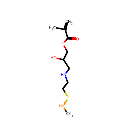 C=C(C)C(=O)OCC(O)CNCCSPC